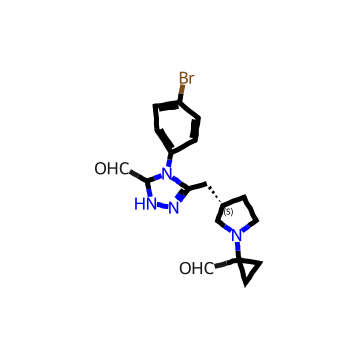 O=CC1NN=C(C[C@@H]2CCN(C3(C=O)CC3)C2)N1c1ccc(Br)cc1